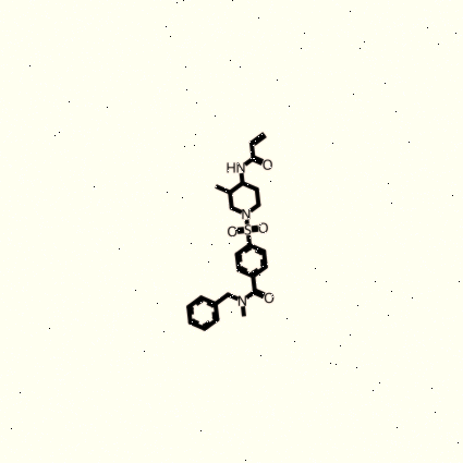 C=CC(=O)NC1CCN(S(=O)(=O)c2ccc(C(=O)N(C)Cc3ccccc3)cc2)CC1C